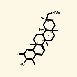 CNC[C@]1(C)CC[C@]2(C)CC[C@]3(C)C4=CC=C5C(=CC(=O)C(O)=C5C)[C@]4(C)CC[C@@]3(C)[C@@H]2C1